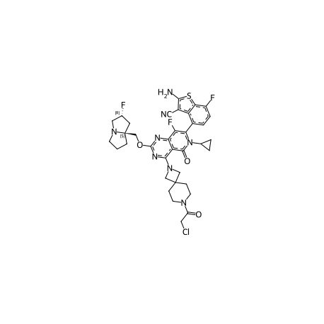 N#Cc1c(N)sc2c(F)ccc(-c3c(F)c4nc(OC[C@@]56CCCN5C[C@H](F)C6)nc(N5CC6(CCN(C(=O)CCl)CC6)C5)c4c(=O)n3C3CC3)c12